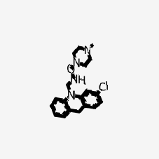 CN1CCN(ONCN2c3ccccc3Cc3ccc(Cl)cc32)CC1